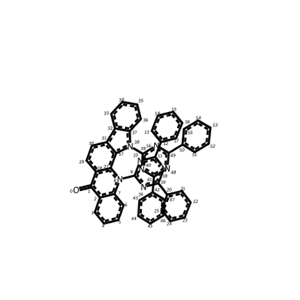 O=c1c2ccccc2n(-c2nc(-c3ccccc3)nc(-c3ccccc3)n2)c2c1ccc1c3ccccc3n(-c3nc(-c4ccccc4)nc(-c4ccccc4)n3)c12